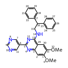 COc1cc2nc(-c3cncnc3)nc(NCC(c3ccccc3)c3ccccc3)c2cc1OC